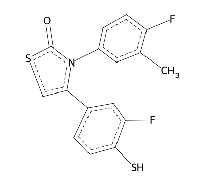 Cc1cc(-n2c(-c3ccc(S)c(F)c3)csc2=O)ccc1F